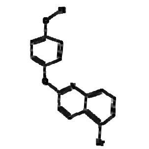 CCOc1ccc(Oc2ccc3c(Br)cccc3n2)cc1